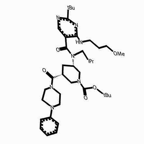 COCCCNc1nc(C(C)(C)C)ncc1C(=O)N(CC(C)C)[C@H]1C[C@@H](C(=O)N2CCN(c3ccccc3)CC2)CN(C(=O)OC(C)(C)C)C1